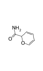 NC(=O)C1C=CC=CO1